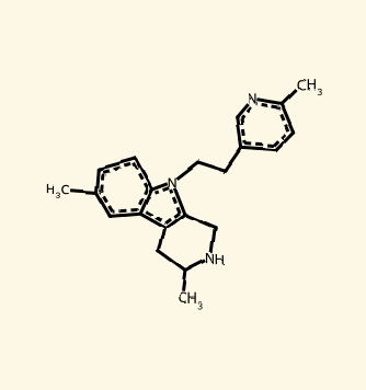 Cc1ccc2c(c1)c1c(n2CCc2ccc(C)nc2)CNC(C)C1